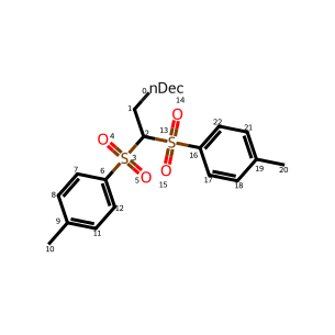 CCCCCCCCCCCC(S(=O)(=O)c1ccc(C)cc1)S(=O)(=O)c1ccc(C)cc1